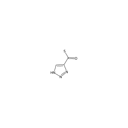 O=C([S])c1c[nH]nn1